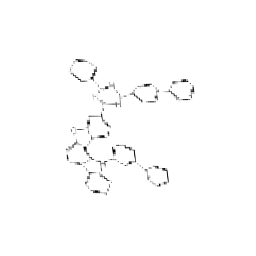 c1ccc(-c2ccc(-c3nc(-c4ccccc4)nc(-c4ccc5c(c4)oc4ccc6c7ccccc7n(-c7cccc(-c8ccccc8)c7)c6c45)n3)cc2)cc1